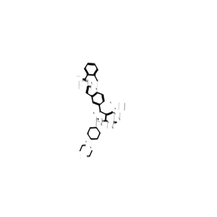 Nc1ncnc2c1c(-c1ccc3c(ccn3Cc3ccccc3C(F)(F)F)c1)nn2C1CCC(N2CCOCC2)CC1